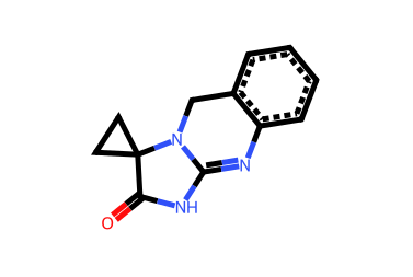 O=C1NC2=Nc3ccccc3CN2C12CC2